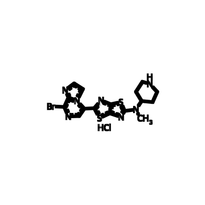 CN(c1nc2sc(-c3cnc(Br)c4nccn34)nc2s1)C1CCNCC1.Cl